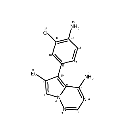 [CH2]Cc1cn2ncnc(N)c2c1-c1ccc(N)c(Cl)c1